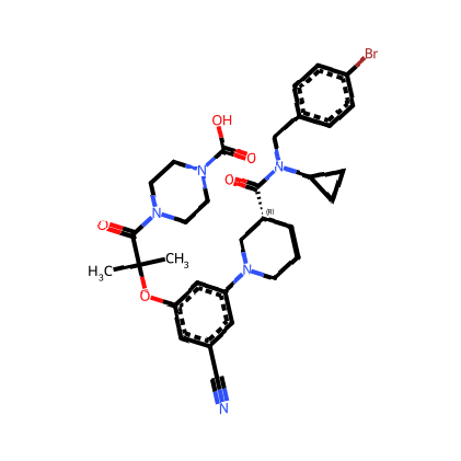 CC(C)(Oc1cc(C#N)cc(N2CCC[C@@H](C(=O)N(Cc3ccc(Br)cc3)C3CC3)C2)c1)C(=O)N1CCN(C(=O)O)CC1